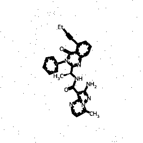 CCC#Cc1cccc2nc([C@H](C)NC(=O)c3c(N)nn4c(C)ccnc34)n(-c3ccccc3)c(=O)c12